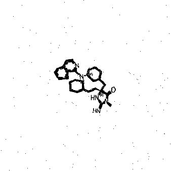 CN1C(=N)N[C@](CCC2CCCCC2)(CC2CCC[C@@H](Nc3nccc4ccccc34)C2)C1=O